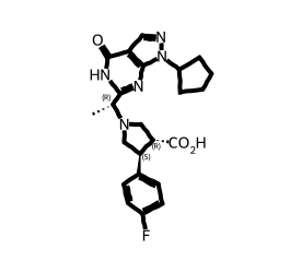 C[C@H](c1nc2c(cnn2C2CCCC2)c(=O)[nH]1)N1C[C@H](C(=O)O)[C@@H](c2ccc(F)cc2)C1